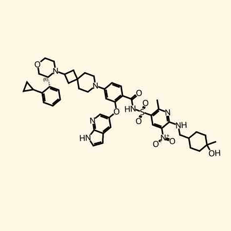 Cc1nc(NCC2CCC(C)(O)CC2)c([N+](=O)[O-])cc1S(=O)(=O)NC(=O)c1ccc(N2CCC3(CC2)CC(N2CCOC[C@H]2c2ccccc2C2CC2)C3)cc1Oc1cnc2[nH]ccc2c1